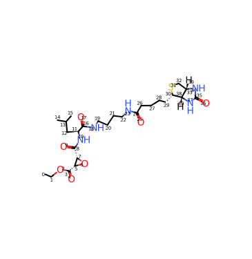 CCOC(=O)[C@H]1O[C@H]1C(=O)N[C@@H](CC(C)C)C(=O)NCCCCNC(=O)CCCC[C@@H]1SC[C@@H]2NC(=O)N[C@@H]21